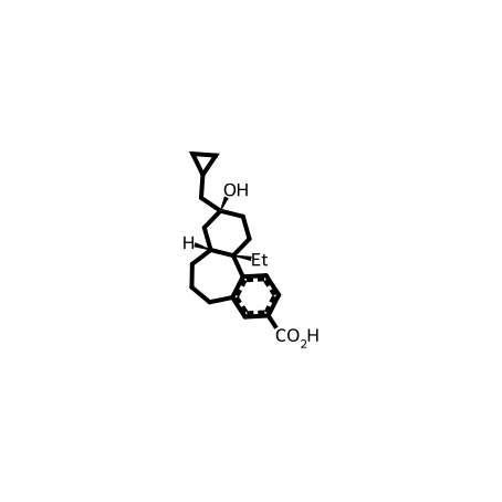 CC[C@]12CC[C@@](O)(CC3CC3)C[C@H]1CCCc1cc(C(=O)O)ccc12